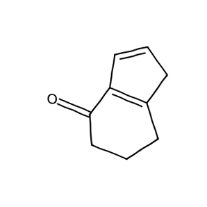 O=C1CCCC2=C1C=CC2